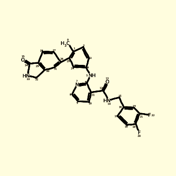 Cc1ccc(Nc2ncccc2C(=O)NCc2ccc(F)c(F)c2)cc1-c1ccc2c(c1)CNC2=O